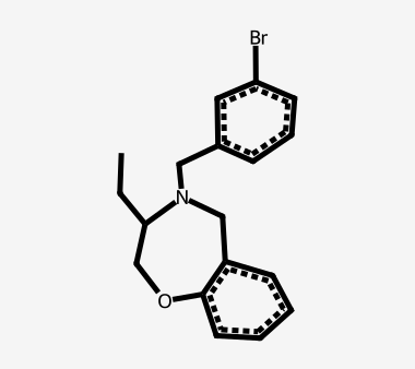 CCC1COc2ccccc2CN1Cc1cccc(Br)c1